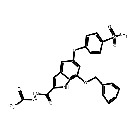 CS(=O)(=O)c1ccc(Oc2cc(OCc3ccccc3)c3[nH]c(C(=O)NNC(=O)C(=O)O)cc3c2)cc1